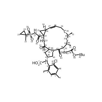 Cc1cc(C)c(N(C(=O)O)[C@@H]2C[C@H]3C(=O)N[C@]4(C(=O)NS(=O)(=O)C5(C)CC5)C[C@H]4C=CCC[C@@H](C)C[C@@H](C)[C@H](NC(=O)OC(C)(C)C)C(=O)N3C2)c(Cl)c1